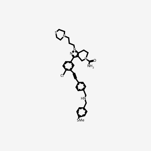 CSc1ccc(CNCc2ccc(C#Cc3cc(-c4nn(CCCN5CCSCC5)c5c4CN(C(N)=O)CC5)ccc3Cl)cc2)cc1